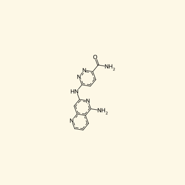 NC(=O)c1ccc(Nc2cc3ncccc3c(N)n2)nn1